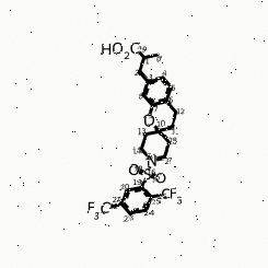 CC(Cc1ccc2c(c1)OC1(CC2)CCN(S(=O)(=O)c2cc(C(F)(F)F)ccc2C(F)(F)F)CC1)C(=O)O